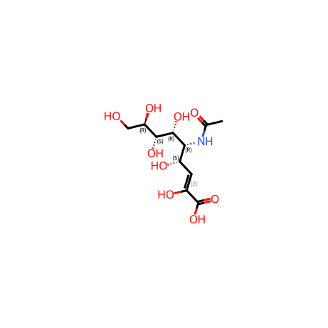 CC(=O)N[C@@H]([C@@H](O)[C@H](O)[C@H](O)CO)[C@@H](O)/C=C(\O)C(=O)O